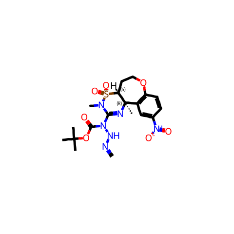 C=NNN(C(=O)OC(C)(C)C)C1=N[C@]2(C)c3cc([N+](=O)[O-])ccc3OCC[C@@H]2S(=O)(=O)N1C